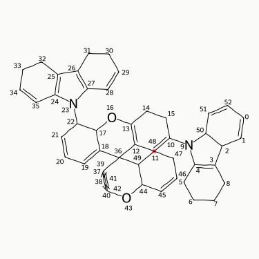 C1=CC2C3=C(CCCC3)N(C3=CC4=C(CC3)OC3C(=CC=CC3n3c5c(c6c3C=CCC6)CCC=C5)C43c4ccccc4OC4C=CCCC43)C2C=C1